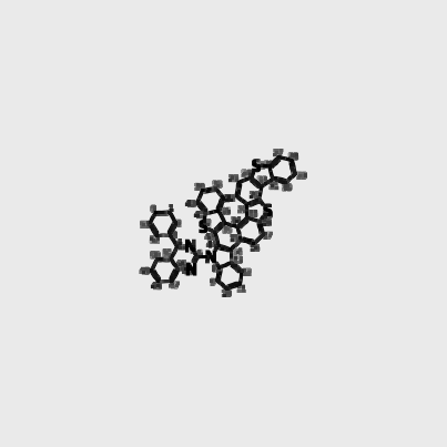 c1ccc(-c2nc(-n3c4ccccc4c4c5ccc6sc7c(ccc8sc9ccccc9c87)c6c5c5c6ccccc6sc5c43)nc3ccccc23)cc1